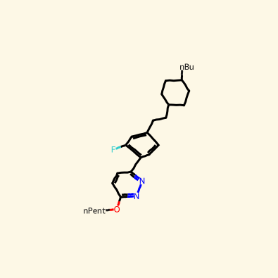 CCCCCOc1ccc(-c2ccc(CCC3CCC(CCCC)CC3)cc2F)nn1